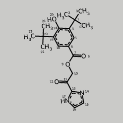 CC(C)(C)c1cc(C(=O)OCC(=O)c2ncc[nH]2)cc(C(C)(C)C)c1O